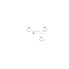 CC(NC(=O)C(C)(C)Oc1ccc(C(F)(F)F)cn1)C(Cc1ccc(Cl)cc1)N(C)c1ccccc1